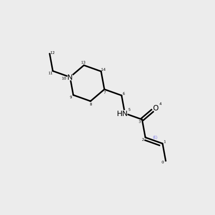 C/C=C/C(=O)NCC1CCN(CC)CC1